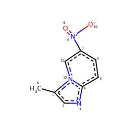 Cc1cnc2ccc([N+](=O)[O-])cn12